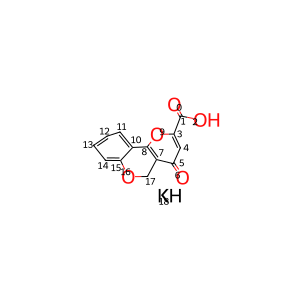 O=C(O)c1cc(=O)c2c(o1)-c1ccccc1OC2.[KH]